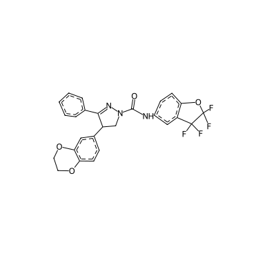 O=C(Nc1ccc2c(c1)C(F)(F)C(F)(F)O2)N1CC(c2ccc3c(c2)OCCO3)C(c2ccccc2)=N1